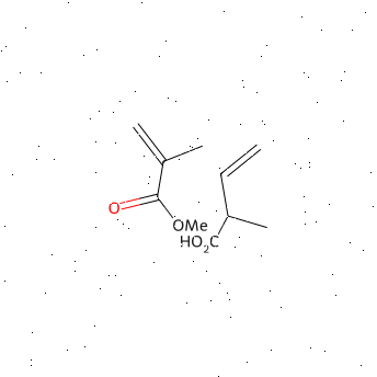 C=C(C)C(=O)OC.C=CC(C)C(=O)O